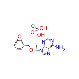 CC(C)(OCc1cccc2c1O2)n1cnc2c(N)ncnc21.O=P(O)(O)Cl